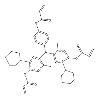 C=CC(=O)Oc1ccc(C(c2cc(C3CCCCC3)c(OC(=O)C=C)cc2C)c2cc(C3CCCCC3)c(OC(=O)C=C)cc2C)cc1